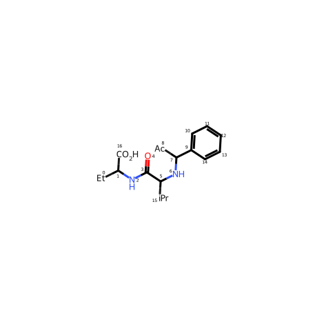 CCC(NC(=O)C(NC(C(C)=O)c1ccccc1)C(C)C)C(=O)O